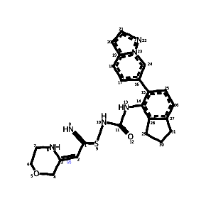 N=C(/C=C1/COCCN1)SNC(=O)Nc1c(-c2ccc3ccnn3c2)ccc2c1CCC2